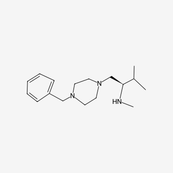 CN[C@@H](CN1CCN(Cc2ccccc2)CC1)C(C)C